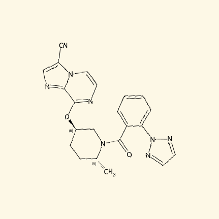 C[C@@H]1CC[C@@H](Oc2nccn3c(C#N)cnc23)CN1C(=O)c1ccccc1-n1nccn1